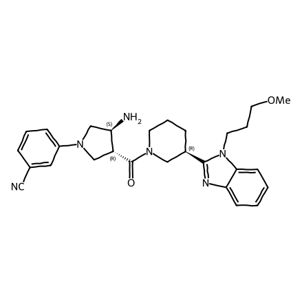 COCCCn1c([C@@H]2CCCN(C(=O)[C@@H]3CN(c4cccc(C#N)c4)C[C@H]3N)C2)nc2ccccc21